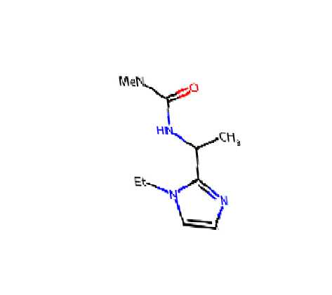 CCn1c[c]nc1C(C)NC(=O)NC